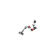 O=C1C=Cc2c([C@@H](O)CNCCC3CCN(C(=O)c4ccc(COc5cccc([C@@](O)(C(=O)O)c6ccccc6CC6CCN(Cc7ccccc7)CC6)c5)cc4)CC3)ccc(O)c2C1